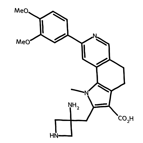 COc1ccc(-c2cc3c(cn2)CCc2c(C(=O)O)c(CC4(N)CNC4)n(C)c2-3)cc1OC